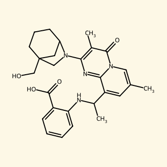 Cc1cc(C(C)Nc2ccccc2C(=O)O)c2nc(N3CC4(CO)CCCC3C4)c(C)c(=O)n2c1